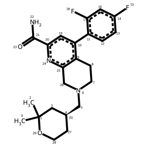 CC1(C)C[C@@H](CN2CCc3c(-c4ccc(F)cc4F)cc(C(N)=O)nc3C2)CCO1